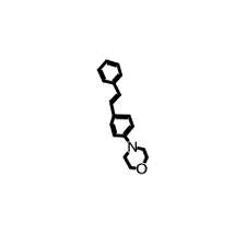 C(=Cc1ccc(N2CCOCC2)cc1)c1ccccc1